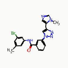 Cc1cc(Br)cc(NC(=O)c2cccc(-n3cc(-c4cncn4C)nn3)c2)c1